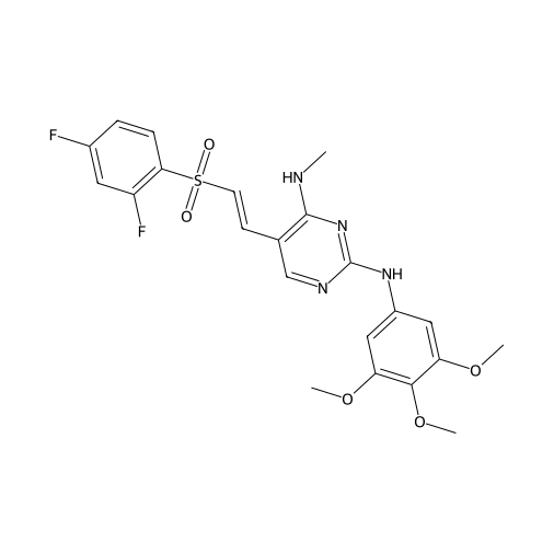 CNc1nc(Nc2cc(OC)c(OC)c(OC)c2)ncc1C=CS(=O)(=O)c1ccc(F)cc1F